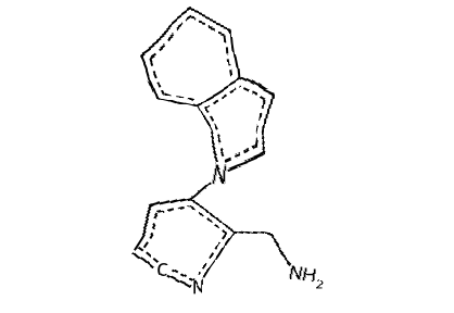 NCc1ncccc1-n1ccc2ccccc21